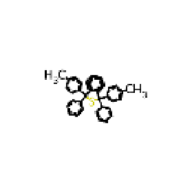 Cc1ccc(C(SC(c2ccccc2)(c2ccccc2)c2ccc(C)cc2)(c2ccccc2)c2ccccc2)cc1